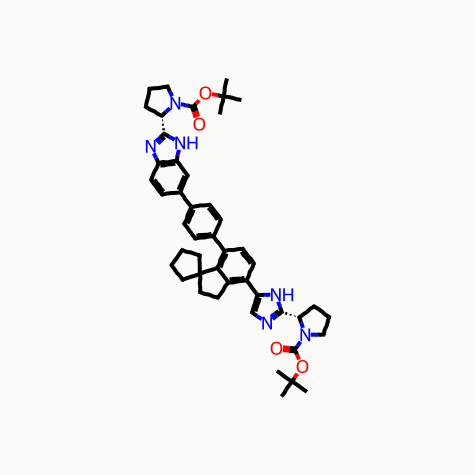 CC(C)(C)OC(=O)N1CCC[C@H]1c1ncc(-c2ccc(-c3ccc(-c4ccc5nc([C@@H]6CCCN6C(=O)OC(C)(C)C)[nH]c5c4)cc3)c3c2CCC32CCCC2)[nH]1